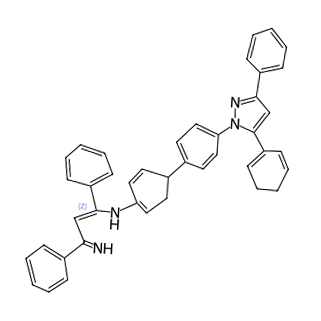 N=C(/C=C(\NC1=CCC(c2ccc(-n3nc(-c4ccccc4)cc3C3=CCCC=C3)cc2)C=C1)c1ccccc1)c1ccccc1